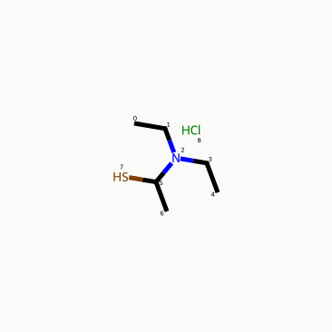 CCN(CC)C(C)S.Cl